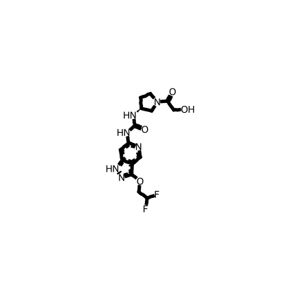 O=C(Nc1cc2[nH]nc(OCC(F)F)c2cn1)N[C@@H]1CCN(C(=O)CO)C1